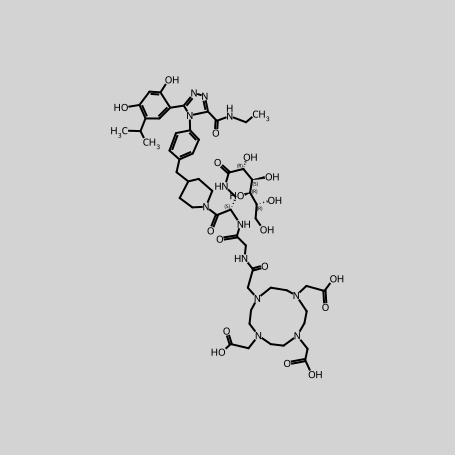 CCNC(=O)c1nnc(-c2cc(C(C)C)c(O)cc2O)n1-c1ccc(CC2CCN(C(=O)[C@H](CNC(=O)[C@H](O)[C@@H](O)[C@H](O)[C@H](O)CO)NC(=O)CNC(=O)CN3CCN(CC(=O)O)CCN(CC(=O)O)CCN(CC(=O)O)CC3)CC2)cc1